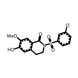 COc1cc2c(cc1O)CCN(S(=O)(=O)c1cccc(Cl)c1)C2=O